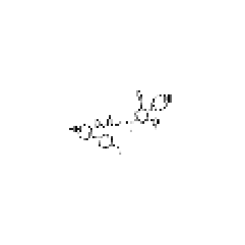 CCc1ccc(N2CCNCC2)c(C(=O)N(C)CCC(C)c2cc(C#N)c(N3CCNCC3)c(OC)c2)c1